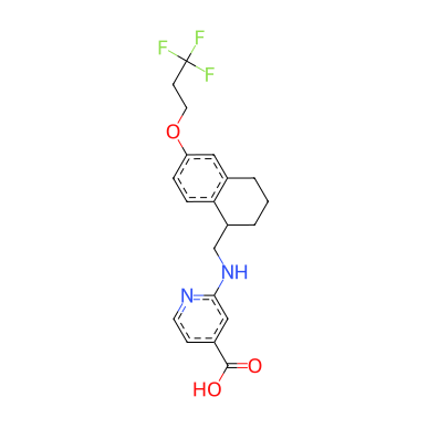 O=C(O)c1ccnc(NCC2CCCc3cc(OCCC(F)(F)F)ccc32)c1